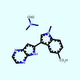 CN(C)C=O.Cn1cc(-c2cc3nccnc3[nH]2)c2cc(C(=O)O)ccc21